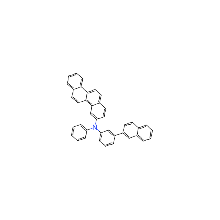 c1ccc(N(c2cccc(-c3ccc4ccccc4c3)c2)c2ccc3ccc4c5ccccc5ccc4c3c2)cc1